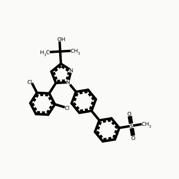 CC(C)(O)c1cc(-c2c(Cl)cccc2Cl)n(-c2ccc(-c3cccc(S(C)(=O)=O)c3)cc2)n1